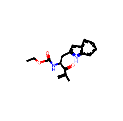 C=C(C)C(=O)C(Cc1cc2ccccc2[nH]1)NC(=O)OCC